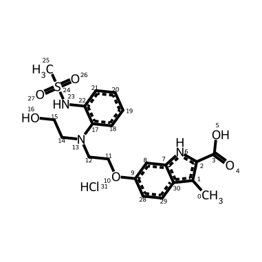 Cc1c(C(=O)O)[nH]c2cc(OCCN(CCO)c3ccccc3NS(C)(=O)=O)ccc12.Cl